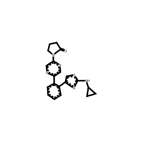 O=C1CCCN1c1cnc(-c2ccccc2-c2csc(NC3CC3)n2)cn1